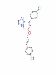 Clc1ccc(C=CCOC(C=Cc2ccc(Cl)cc2)Cn2ccnc2)cc1